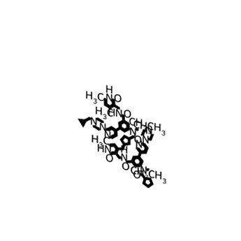 CCN(C(=O)C1CCCC1)c1cc(-c2ccc(N3CCN(C)CC3)nc2)cc(C(=O)NCc2c(CC3CCC(C(=O)N(CC)c4cc(-c5ccnc(N6CCN(CC7CC7)CC6)c5)cc(C(=O)NCc5c(C)cc(C)[nH]c5=O)c4C)C3)cc(C)[nH]c2=O)c1C